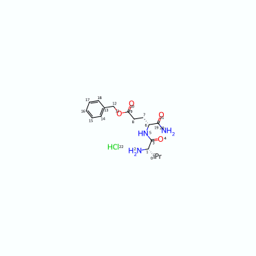 CC(C)[C@H](N)C(=O)N[C@H](CCC(=O)OCc1ccccc1)C(N)=O.Cl